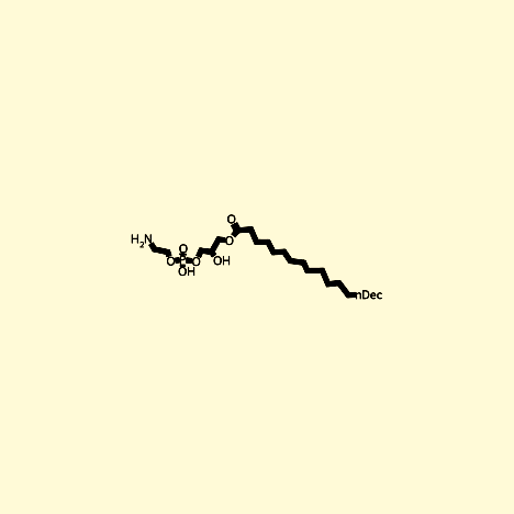 CCCCCCCCCCCCCCCCCCCCCCC(=O)OCC(O)COP(=O)(O)OCCN